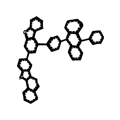 c1ccc(-c2c3ccccc3c(-c3ccc(-c4cc(-c5ccc6sc7c8ccccc8ccc7c6c5)cc5oc6ccccc6c45)cc3)c3ccccc23)cc1